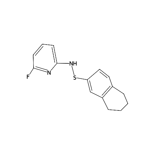 Fc1cccc(NSc2ccc3c(c2)CCCC3)n1